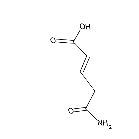 NC(=O)CC=CC(=O)O